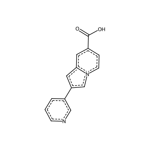 O=C(O)c1ccn2cc(-c3cccnc3)cc2c1